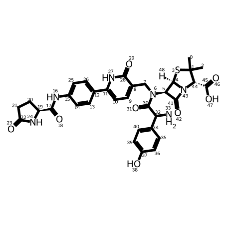 CC1(C)S[C@@H]2[C@H](N(Cc3ccc(-c4ccc(NC(=O)[C@@H]5CCC(=O)N5)cc4)[nH]c3=O)C(=O)C(N)c3ccc(O)cc3)C(=O)N2[C@H]1C(=O)O